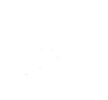 CSc1nc2c(C(=O)NOCCO)c(Nc3ccc(I)cc3Cl)n(C)c(=O)c2s1